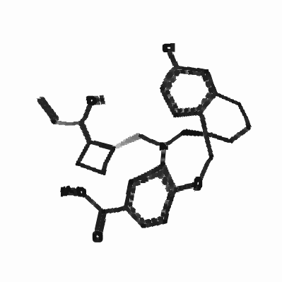 C=CC(O)C1CC[C@H]1CN1C[C@@]2(CCCc3cc(Cl)ccc32)COc2ccc(C(=O)OC)cc21